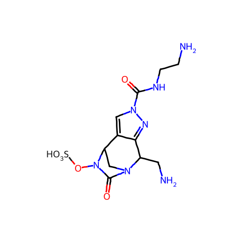 NCCNC(=O)n1cc2c(n1)C(CN)N1CC2N(OS(=O)(=O)O)C1=O